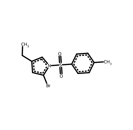 CCc1cc(Br)n(S(=O)(=O)c2ccc(C)cc2)c1